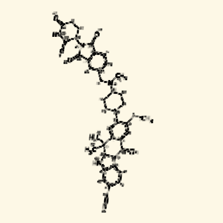 CCc1cc2c(cc1N1CCC(N(C)Cc3ccc4c(c3)C(=O)N(C3CCC(=O)NC3=O)C4=O)CC1)C(C)(C)c1[nH]c3cc(C#N)ccc3c1C2=O